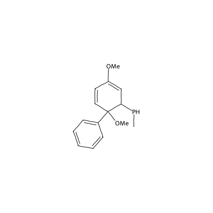 COC1=CC(PC)C(OC)(c2ccccc2)C=C1